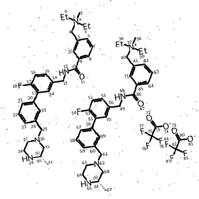 CC[N+](C)(CC)Cc1cccc(C(=O)NCc2ccc(F)c(-c3cccc(CN4CCN[C@@H](C)C4)c3)c2)c1.CC[N+](C)(CC)Cc1cccc(C(=O)NCc2ccc(F)c(-c3cccc(CN4CCN[C@@H](C)C4)c3)c2)c1.O=C([O-])C(F)(F)F.O=C([O-])C(F)(F)F